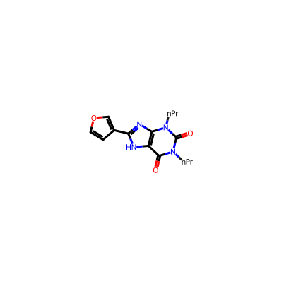 CCCn1c(=O)c2[nH]c(-c3ccoc3)nc2n(CCC)c1=O